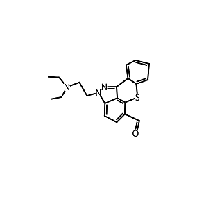 CCN(CC)CCn1nc2c3c(c(C=O)ccc31)Sc1ccccc1-2